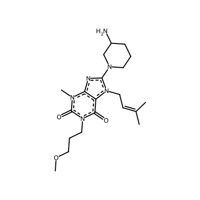 COCCCn1c(=O)c2c(nc(N3CCCC(N)C3)n2CC=C(C)C)n(C)c1=O